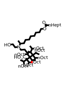 CCCCCCCCC(C)C(CCCN(CCO)C(C)CCCCCCCCOC(=O)CCCCCCC)C(C(C)CCCCCCCC)(C(C)CCCCCCCC)C(C(C)CCCCCCCC)(C(C)CCCCCCCC)C(C(=O)O)(C(C)CCCCCCCC)C(C)CCCCCCCC